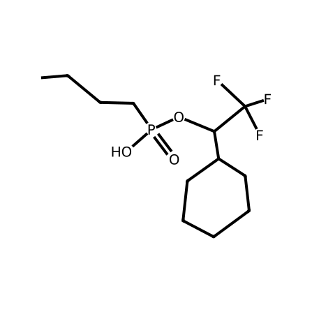 CCCCP(=O)(O)OC(C1CCCCC1)C(F)(F)F